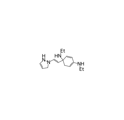 CCNC1=CCC(C=CN2CC=CN2)(NCC)C=C1